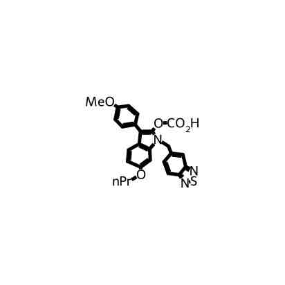 CCCOc1ccc2c(-c3ccc(OC)cc3)c(OC(=O)O)n(Cc3ccc4nsnc4c3)c2c1